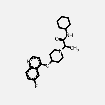 CC(C(=O)NC1CCCCC1)N1CCC(Oc2ccnc3ccc(F)cc23)CC1